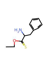 CCOC(=S)C(N)Cc1ccccc1